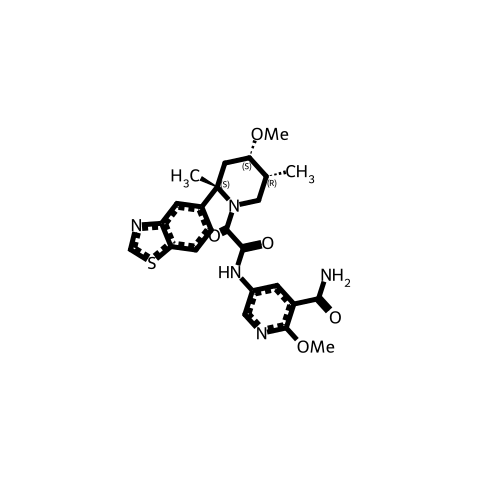 COc1ncc(NC(=O)C(=O)N2C[C@@H](C)[C@@H](OC)C[C@@]2(C)c2ccc3scnc3c2)cc1C(N)=O